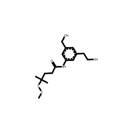 CSSC(C)(C)CCC(=O)Nc1cc(CO)cc(CCO)c1